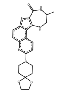 CC1CNc2c(sc3ccc4nc(N5CCC6(CC5)OCCO6)ccc4c23)C(=O)N1